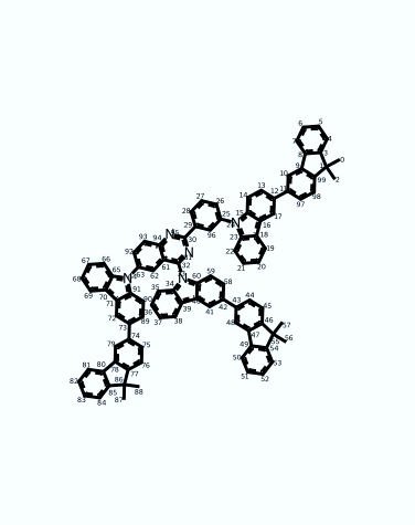 CC1(C)c2ccccc2-c2cc(-c3ccc4c(c3)c3ccccc3n4-c3cccc(-c4nc(-n5c6ccccc6c6cc(-c7ccc8c(c7)-c7ccccc7C8(C)C)ccc65)c5cc(-n6c7ccccc7c7cc(-c8ccc9c(c8)-c8ccccc8C9(C)C)ccc76)ccc5n4)c3)ccc21